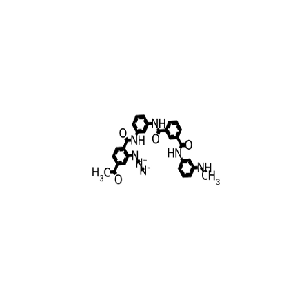 CNc1cccc(NC(=O)c2cccc(C(=O)Nc3cccc(NC(=O)c4ccc(C(C)=O)cc4N=[N+]=[N-])c3)c2)c1